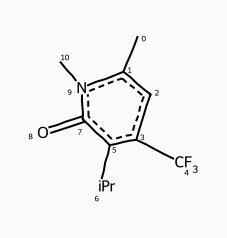 Cc1cc(C(F)(F)F)c(C(C)C)c(=O)n1C